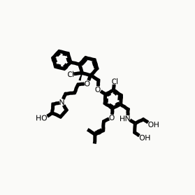 CC(C)=CCOc1cc(OCC2(OCCCN3CCC(O)C3)C=CC=C(c3ccccc3)[C@@]2(C)Cl)c(Cl)cc1CNC(CO)CO